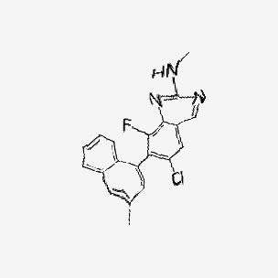 CNc1ncc2cc(Cl)c(-c3cc(C)cc4ccccc34)c(F)c2n1